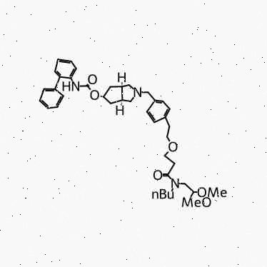 CCCCN(CC(OC)OC)C(=O)CCOCCc1ccc(CN2C[C@H]3C[C@H](OC(=O)Nc4ccccc4-c4ccccc4)C[C@H]3C2)cc1